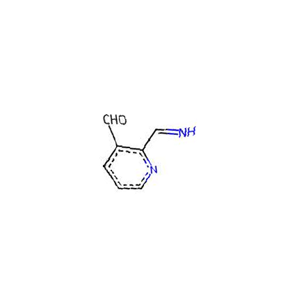 N=Cc1ncccc1C=O